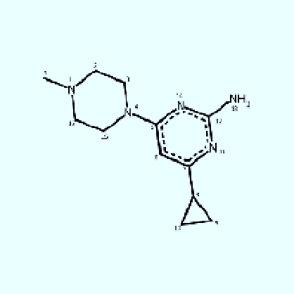 CN1CCN(c2cc(C3CC3)nc(N)n2)CC1